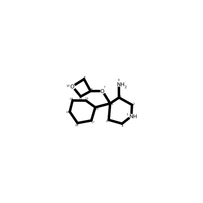 NC1CNCCC1(OC1COC1)C1CCCCC1